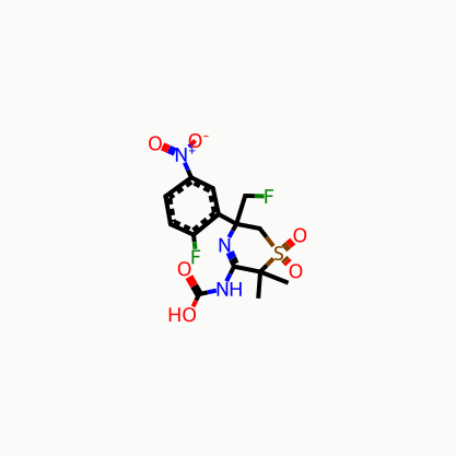 CC1(C)C(NC(=O)O)=NC(CF)(c2cc([N+](=O)[O-])ccc2F)CS1(=O)=O